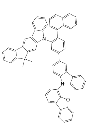 CC1(C)c2ccccc2-c2cc3c4ccccc4n(-c4cc(-c5ccc6c(c5)c5ccccc5n6-c5cccc6c5oc5ccccc56)ccc4-c4cccc5ccccc45)c3cc21